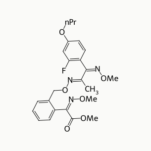 CCCOc1ccc(C(=NOC)C(C)=NOCc2ccccc2C(=NOC)C(=O)OC)c(F)c1